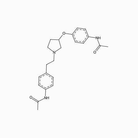 CC(=O)Nc1ccc(CCN2CCC(Oc3ccc(NC(C)=O)cc3)C2)cc1